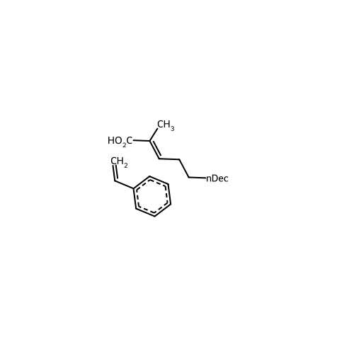 C=Cc1ccccc1.CCCCCCCCCCCCC=C(C)C(=O)O